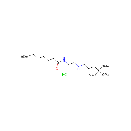 CCCCCCCCCCCCCCCC(=O)NCCNCCC[Si](OC)(OC)OC.Cl